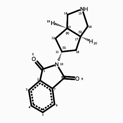 O=C1c2ccccc2C(=O)N1[C@@H]1C[C@H]2CNC[C@H]2C1